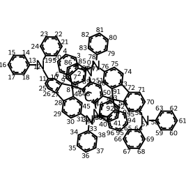 CN1c2ccccc2C2(c3cc(N(c4ccccc4)c4ccccc4)ccc3-c3ccc(N(c4ccccc4)c4ccccc4)cc32)c2cc3c(cc21)C1(c2cc(N(c4ccccc4)c4ccccc4)ccc2-c2ccc(N(c4ccccc4)c4ccccc4)cc21)c1ccccc1N3C